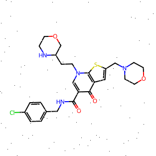 O=C(NCc1ccc(Cl)cc1)c1cn(CCC2COCCN2)c2sc(CN3CCOCC3)cc2c1=O